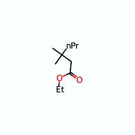 CCCC(C)(C)CC(=O)OCC